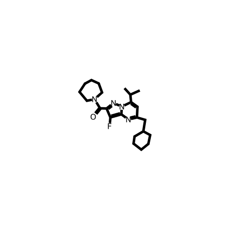 CC(C)c1cc(CC2CCCCC2)nc2c(F)c(C(=O)N3CCCCCC3)nn12